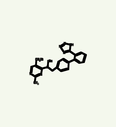 CCCCN(Cc1ccc(-c2ccccc2-c2nnn[nH]2)cc1)c1nc(C)ncc1C(=O)OCC